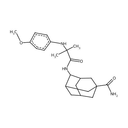 COc1ccc(NC(C)(C)C(=O)NC2C3CC4CC2CC(C(N)=O)(C4)C3)cc1